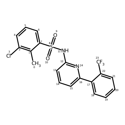 Cc1c(Cl)cccc1S(=O)(=O)Nc1cccc(-c2ccccc2C(F)(F)F)n1